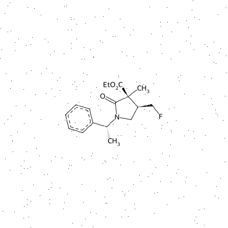 CCOC(=O)[C@]1(C)C(=O)N([C@H](C)c2ccccc2)C[C@@H]1CF